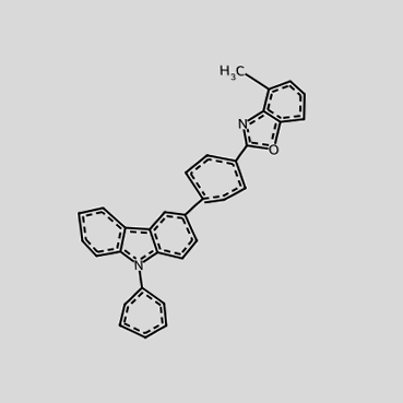 Cc1cccc2oc(-c3ccc(-c4ccc5c(c4)c4ccccc4n5-c4ccccc4)cc3)nc12